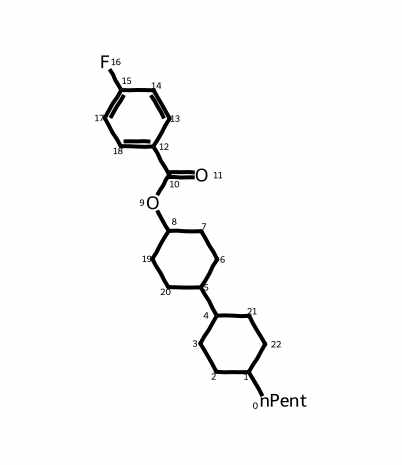 CCCCCC1CCC(C2CCC(OC(=O)c3ccc(F)cc3)CC2)CC1